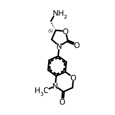 CN1C(=O)COc2cc(N3C[C@H](CN)OC3=O)ccc21